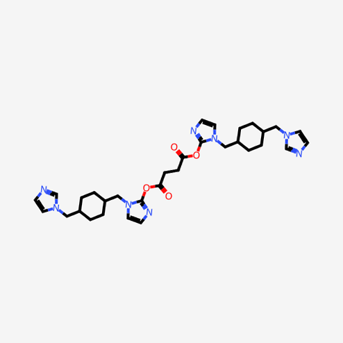 O=C(CCC(=O)Oc1nccn1CC1CCC(Cn2ccnc2)CC1)Oc1nccn1CC1CCC(Cn2ccnc2)CC1